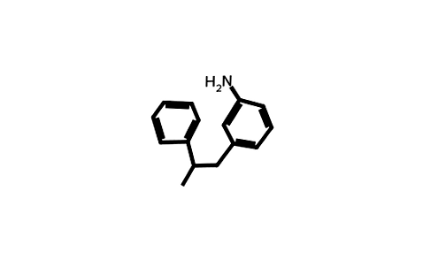 CC(Cc1cccc(N)c1)c1ccccc1